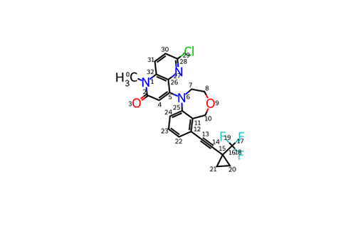 Cn1c(=O)cc(N2CCOCc3c(C#CC4(C(F)(F)F)CC4)cccc32)c2nc(Cl)ccc21